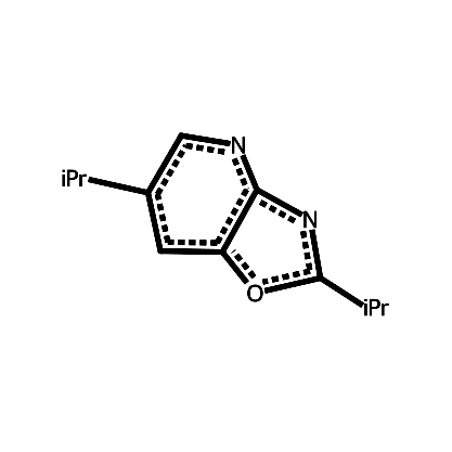 CC(C)c1cnc2nc(C(C)C)oc2c1